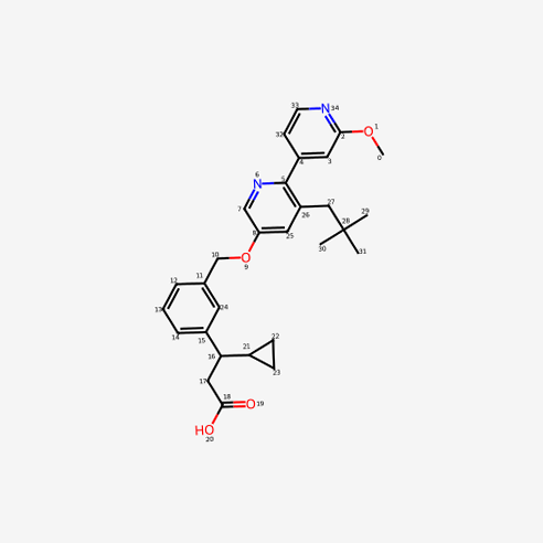 COc1cc(-c2ncc(OCc3cccc(C(CC(=O)O)C4CC4)c3)cc2CC(C)(C)C)ccn1